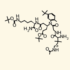 CC(=O)NCSC(C)(C)C(N)C(=O)NCC(=O)N(c1cc(C(C)(C)C)ccc1C)[C@@H](CCC(=O)OC(C)(C)C)CC(=O)N[C@H](CCCCNC(=O)OC(C)(C)C)C(N)=O